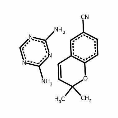 CC1(C)C=Cc2cc(C#N)ccc2O1.Nc1ncnc(N)n1